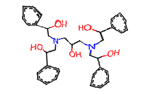 OC(CN(CC(O)c1ccccc1)CC(O)c1ccccc1)CN(CC(O)c1ccccc1)CC(O)c1ccccc1